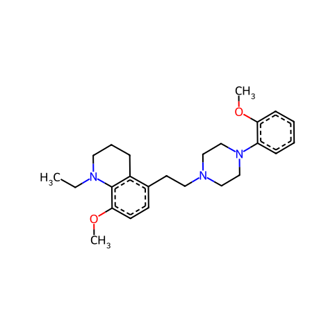 CCN1CCCc2c(CCN3CCN(c4ccccc4OC)CC3)ccc(OC)c21